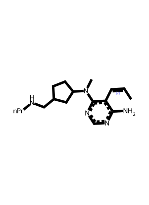 C/C=C\c1c(N)ncnc1N(C)C1CCC(CNCCC)C1